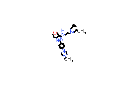 CCCN(CCCNc1nc(-c2ccc(N3CCN(C)CC3)cc2)nc2c1COCC2)CC1CC1